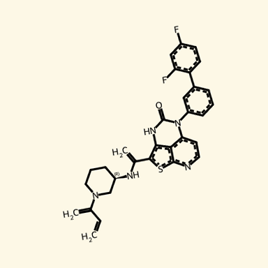 C=CC(=C)N1CCC[C@@H](NC(=C)c2sc3nccc4c3c2NC(=O)N4c2cccc(-c3ccc(F)cc3F)c2)C1